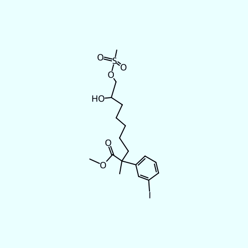 COC(=O)C(C)(CCCCCC(O)COS(C)(=O)=O)c1cccc(I)c1